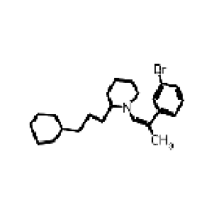 CC(=CN1CCCCC1CCCC1CCCCC1)c1cccc(Br)c1